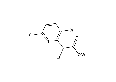 CCC(C(=O)OC)c1nc(Cl)ccc1Br